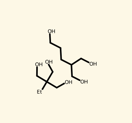 CCC(CO)(CO)CO.OCCCC(CO)CO